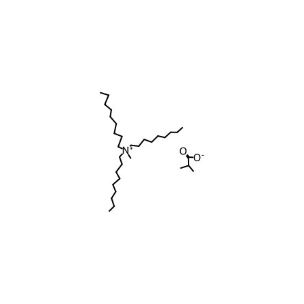 CC(C)C(=O)[O-].CCCCCCCCC[N+](C)(CCCCCCCCC)CCCCCCCCC